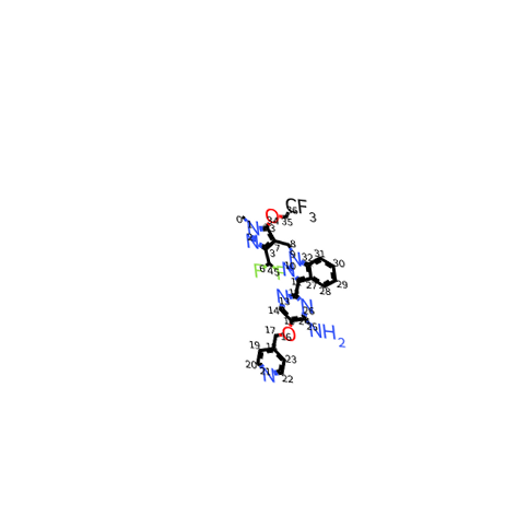 Cn1nc(C(F)F)c(Cn2nc(-c3ncc(OCc4ccncc4)c(N)n3)c3ccccc32)c1OCC(F)(F)F